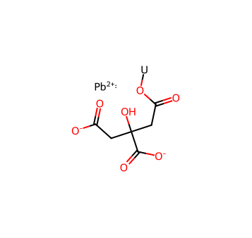 O=C([O-])CC(O)(CC(=O)[O][U])C(=O)[O-].[Pb+2]